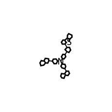 c1cc(-c2ccc(N(c3ccc(-c4ccc5ccccc5c4)cc3)c3ccc(-c4cccc5ccccc45)cc3)cc2)cc(-c2cccc3c2sc2ccccc23)c1